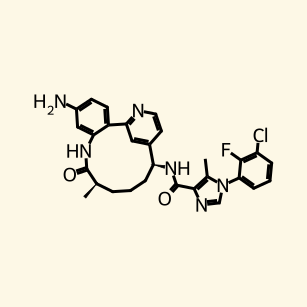 Cc1c(C(=O)N[C@H]2CCC[C@@H](C)C(=O)Nc3cc(N)ccc3-c3cc2ccn3)ncn1-c1cccc(Cl)c1F